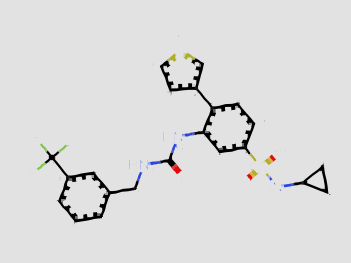 O=C(NCc1cccc(C(F)(F)F)c1)Nc1cc(S(=O)(=O)NC2CC2)ccc1-c1ccsc1